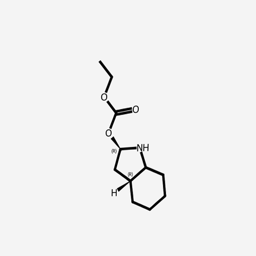 CCOC(=O)O[C@@H]1C[C@H]2CCCCC2N1